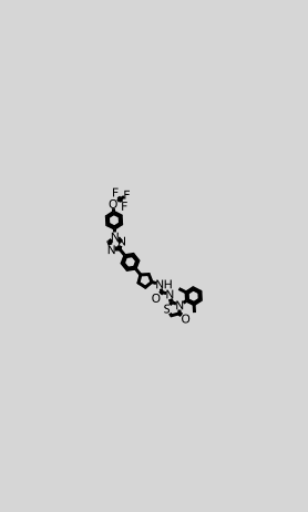 Cc1cccc(C)c1N1C(=O)CS/C1=N\C(=O)NC1CCC(c2ccc(-c3ncn(-c4ccc(OC(F)(F)F)cc4)n3)cc2)C1